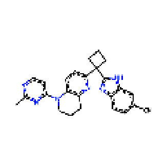 Cc1nccc(N2CCCc3nc(C4(c5nc6ccc(C#N)cc6[nH]5)CCC4)ccc32)n1